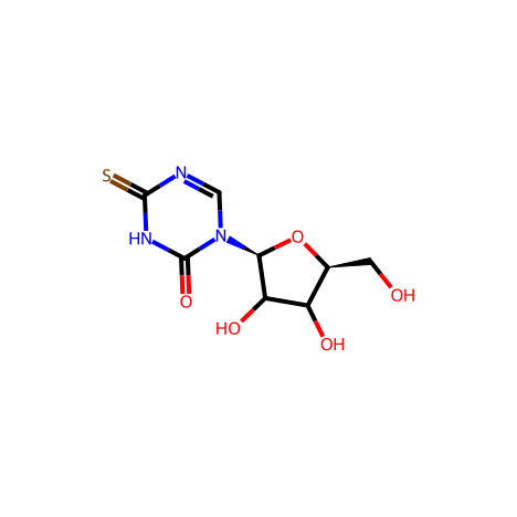 O=c1[nH]c(=S)ncn1[C@H]1O[C@@H](CO)C(O)C1O